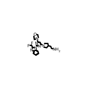 NCCC1CCN(c2cc(N3CCOCC3)nc(-n3c(C(F)F)nc4ccccc43)n2)CC1